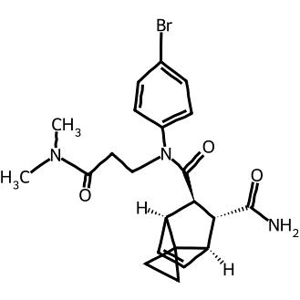 CN(C)C(=O)CCN(C(=O)[C@H]1[C@H](C(N)=O)[C@H]2C=C[C@@H]1C21CC1)c1ccc(Br)cc1